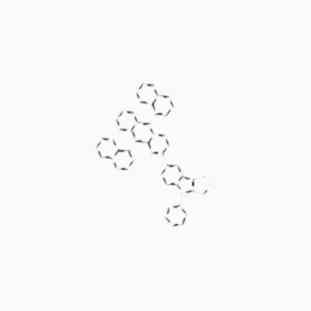 C1=NCc2c1n(-c1ccccc1)c1ccc(-c3ccc4c(-c5cccc6ccccc56)c5ccccc5c(-c5cccc6ccccc56)c4c3)cc21